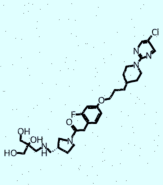 O=C(Cc1ccc(OCCCC2CCN(c3ncc(Cl)cn3)CC2)cc1F)N1CC[C@H](CNCC(O)(CO)CO)C1